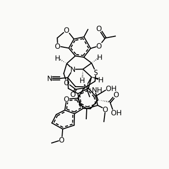 COc1ccc2oc3c(c2c1)C[C@@H](C(=O)O)N[C@]31CS[C@@H]2c3c(OC(C)=O)c(C)c4c(c3[C@H](COC1=O)N1[C@@H]2[C@@H]2c3c(cc(C)c(OC)c3O)CC1(C#N)CN2C)OCO4